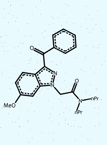 CCCN(CCC)C(=O)Cn1nc(C(=O)c2ccccc2)c2ccc(OC)cc21